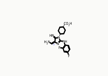 N=C1/C(=C\N)N=C(Nc2ccc(F)cc2F)N1[C@H]1CC[C@@H](C(=O)O)CC1